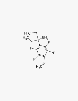 BC(CC)(CC)c1c(F)c(F)c(C=C)c(F)c1F